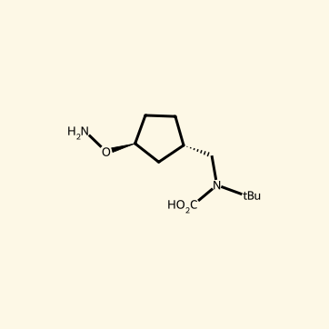 CC(C)(C)N(C[C@H]1CC[C@H](ON)C1)C(=O)O